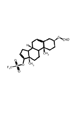 C[C@]12CC[C@H](OC=O)CC1=CC[C@@H]1C2CC[C@]2(C)C(OS(=O)(=O)C(F)(F)F)=CCC12